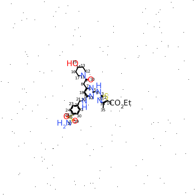 CCOC(=O)c1sc(Nc2nc(CC(=O)N3CCC(O)CC3)cc(NCc3ccc(S(N)(=O)=O)cc3)n2)nc1C